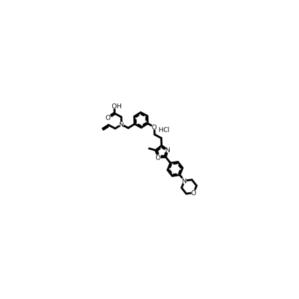 C=CCN(CC(=O)O)Cc1cccc(OCCc2nc(-c3ccc(N4CCOCC4)cc3)oc2C)c1.Cl